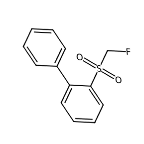 O=S(=O)(CF)c1ccccc1-c1ccccc1